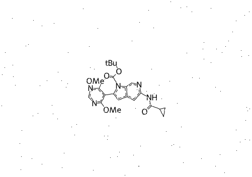 COc1ncnc(OC)c1-c1cc2cc(NC(=O)C3CC3)ncc2n1C(=O)OC(C)(C)C